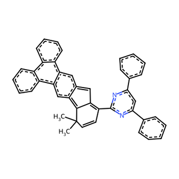 CC1(C)C=CC(c2nc(-c3ccccc3)cc(-c3ccccc3)n2)=C2C=c3cc4c5ccccc5c5ccccc5c4cc3=C21